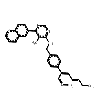 CC/C=C/C=C(\C=N/C)c1ccc(CNc2ncnc(-c3ccc4ncccc4c3)c2C)cc1